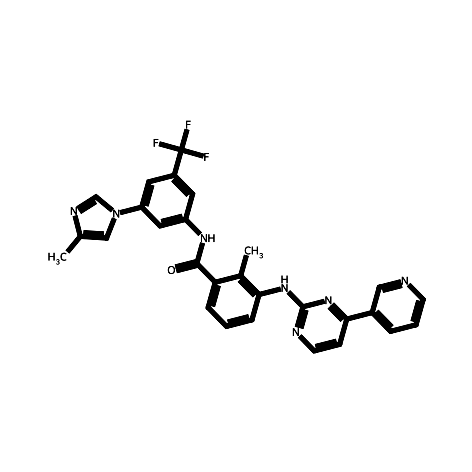 Cc1cn(-c2cc(NC(=O)c3cccc(Nc4nccc(-c5cccnc5)n4)c3C)cc(C(F)(F)F)c2)cn1